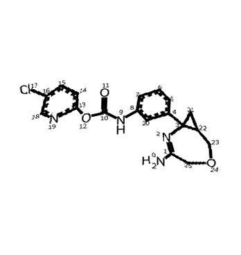 NC1=NC2(c3cccc(NC(=O)Oc4ccc(Cl)cn4)c3)CC2COC1